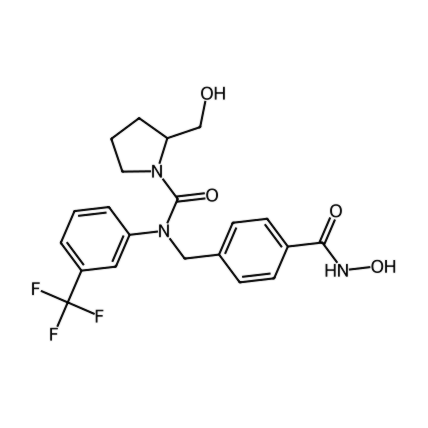 O=C(NO)c1ccc(CN(C(=O)N2CCCC2CO)c2cccc(C(F)(F)F)c2)cc1